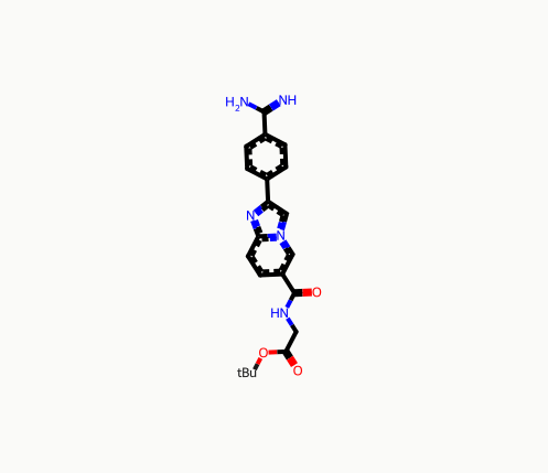 CC(C)(C)OC(=O)CNC(=O)c1ccc2nc(-c3ccc(C(=N)N)cc3)cn2c1